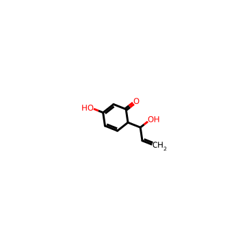 C=CC(O)C1C=CC(O)=CC1=O